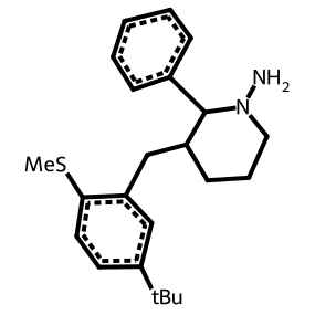 CSc1ccc(C(C)(C)C)cc1CC1CCCN(N)C1c1ccccc1